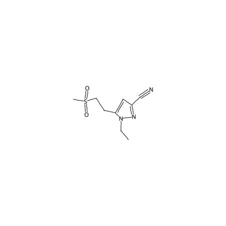 CCn1nc(C#N)cc1CCS(C)(=O)=O